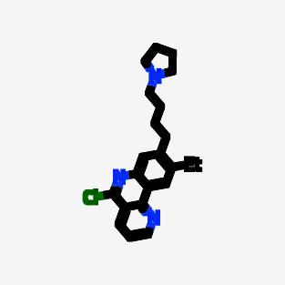 CCc1cc2c(cc1CCCCN1CCCC1)nc(Cl)c1cccnc12